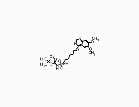 COc1cc2ncnc(OCCCCCNS(=O)(=O)NC(=O)OC(C)(C)C)c2cc1OC